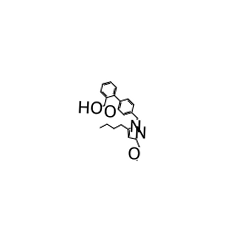 CCCCc1cc(COC)nn1Cc1ccc(-c2ccccc2C(=O)O)cc1